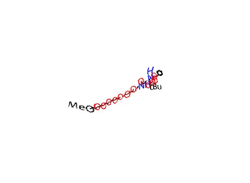 COCCOCCOCCOCCOCCOCCOCCOCCNC(=O)CC[C@H](NC(=O)OCc1ccccc1)C(=O)OC(C)(C)C